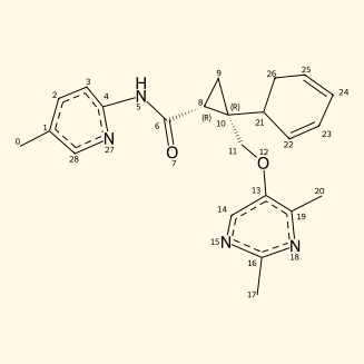 Cc1ccc(NC(=O)[C@@H]2C[C@@]2(COc2cnc(C)nc2C)C2C=CC=CC2)nc1